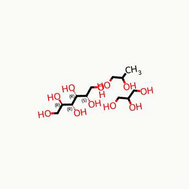 CC(O)CO.OCC(O)CO.OC[C@@H](O)[C@@H](O)[C@H](O)[C@@H](O)CO